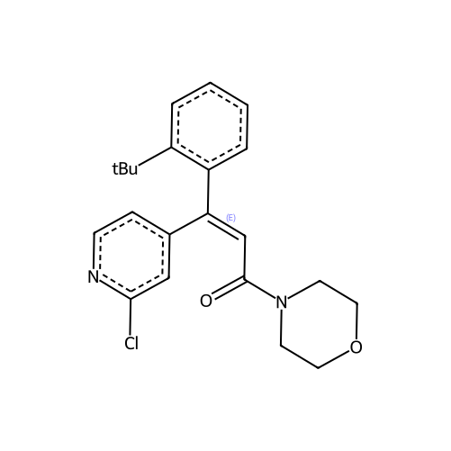 CC(C)(C)c1ccccc1/C(=C/C(=O)N1CCOCC1)c1ccnc(Cl)c1